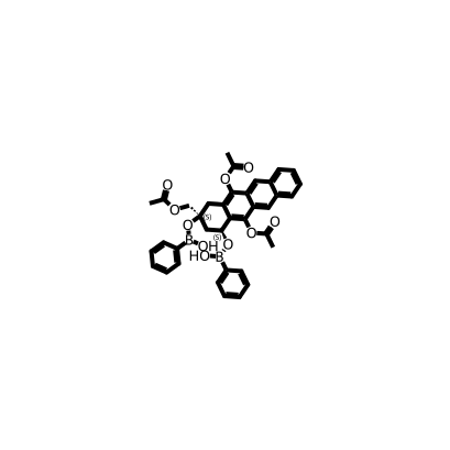 CC(=O)OC[C@]1(OB(O)c2ccccc2)Cc2c(c(OC(C)=O)c3cc4ccccc4cc3c2OC(C)=O)[C@@H](OB(O)c2ccccc2)C1